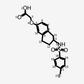 O=C(O)COc1ccc2c(c1)CCC(NS(=O)(=O)c1ccc(F)cc1)C2